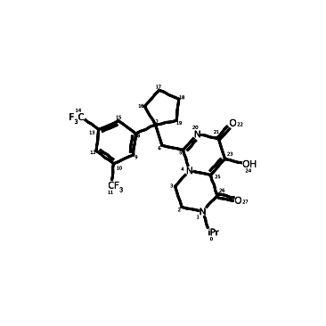 CC(C)N1CCn2c(CC3(c4cc(C(F)(F)F)cc(C(F)(F)F)c4)CCCC3)nc(=O)c(O)c2C1=O